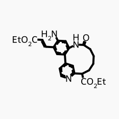 CCOC(=O)/C=C/c1cc2c(cc1N)NC(=O)CCCCC(C(=O)OCC)c1cc-2ccn1